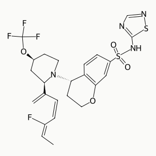 C=C(/C=C\C(F)=C/C)[C@H]1C[C@@H](OC(F)(F)F)CCN1[C@H]1CCOc2cc(S(=O)(=O)Nc3ncns3)ccc21